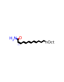 CCCCCCCCCCCC=CC=CC=C/C=C\C(N)=O